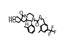 Cc1cc([C@@H](C)N(C)C(=O)N2CCN3C(=O)C(CO)(CO)C[C@H]3[C@@H]2c2ccccc2C)cc(C(F)(F)F)c1